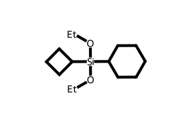 CCO[Si](OCC)(C1CCCCC1)C1CCC1